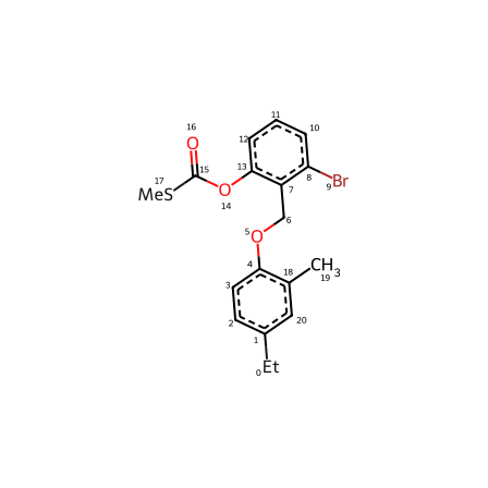 CCc1ccc(OCc2c(Br)cccc2OC(=O)SC)c(C)c1